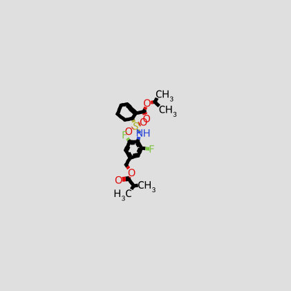 CC(C)OC(=O)C1=CCCCC1S(=O)(=O)Nc1c(F)cc(COC(=O)C(C)C)cc1F